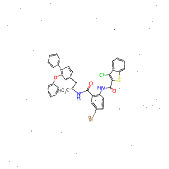 O=C(N[C@@H](Cc1ccc(-c2ccccc2)c(Oc2ccccc2)c1)C(=O)O)c1cc(Br)ccc1NC(=O)c1sc2ccccc2c1Cl